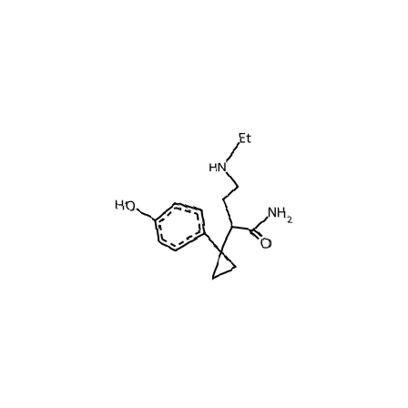 CCNCCC(C(N)=O)C1(c2ccc(O)cc2)CC1